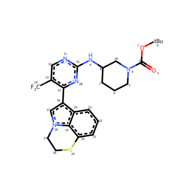 CC(C)(C)OC(=O)N1CCCC(Nc2ncc(C(F)(F)F)c(-c3cn4c5c(cccc35)SCC4)n2)C1